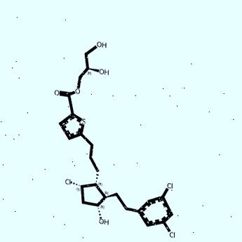 O=C(OC[C@H](O)CO)c1ccc(CCC[C@@H]2[C@@H](CCc3cc(Cl)cc(Cl)c3)[C@H](O)C[C@@H]2Cl)s1